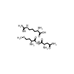 CSCC[C@H](N)C(=O)O.N=C(N)NCCC[C@H](N)C(=O)O.NC(=O)C[C@H](N)C(=O)O